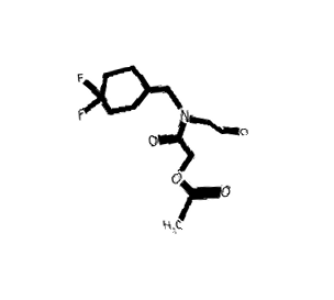 CC(=O)OCC(=O)N(CC=O)CC1CCC(F)(F)CC1